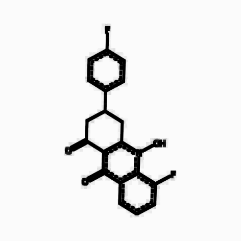 O=C1CC(c2ccc(F)cc2)Cc2c1c(=O)c1cccc(F)c1n2O